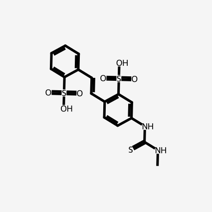 CNC(=S)Nc1ccc(C=Cc2ccccc2S(=O)(=O)O)c(S(=O)(=O)O)c1